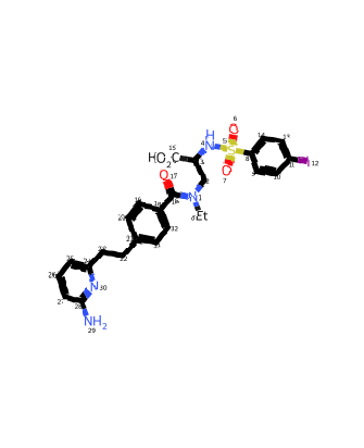 CCN(CC(NS(=O)(=O)c1ccc(I)cc1)C(=O)O)C(=O)c1ccc(CCc2cccc(N)n2)cc1